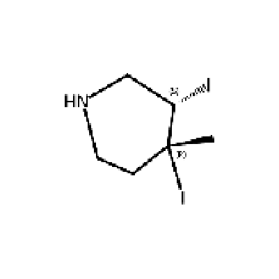 C[C@@]1(I)CCNC[C@@H]1I